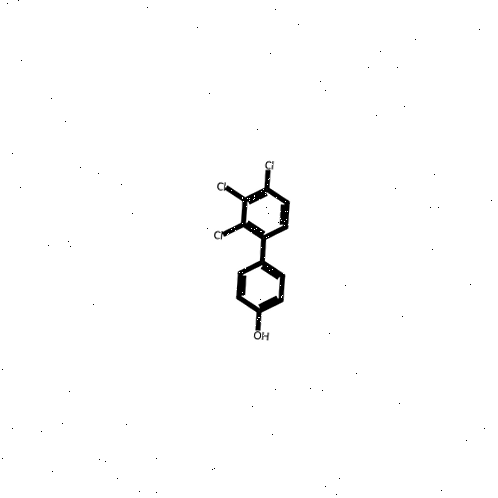 Oc1ccc(-c2ccc(Cl)c(Cl)c2Cl)cc1